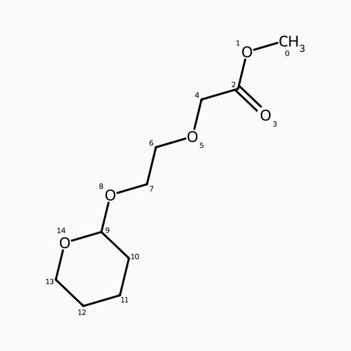 COC(=O)COCCOC1CCCCO1